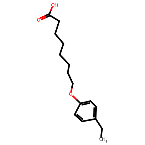 CCc1ccc(OCCCCCCCC(=O)O)cc1